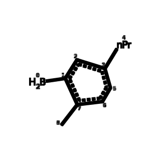 Bc1cc(CCC)ccc1C